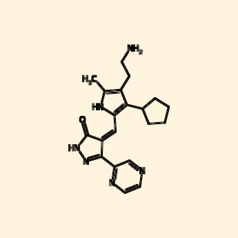 Cc1[nH]c(C=C2C(=O)NN=C2c2cnccn2)c(C2CCCC2)c1CCN